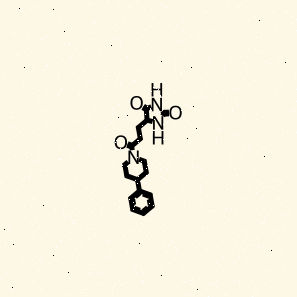 O=C1NC(=O)C(CCC(=O)N2CCC(c3ccccc3)CC2)N1